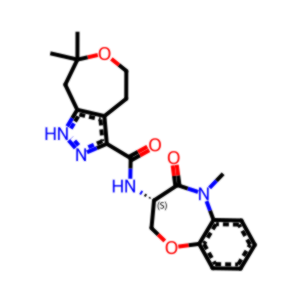 CN1C(=O)[C@@H](NC(=O)c2n[nH]c3c2CCOC(C)(C)C3)COc2ccccc21